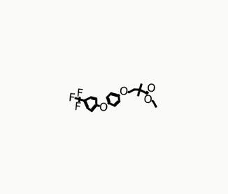 CCOC(=O)C(C)(C)CCOc1ccc(Oc2ccc(C(F)(F)F)cc2)cc1